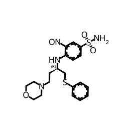 NS(=O)(=O)c1ccc(N[C@H](CCN2CCOCC2)CSc2ccccc2)c(N=O)c1